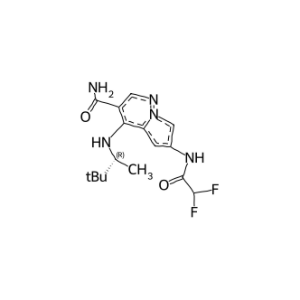 C[C@@H](Nc1c(C(N)=O)cnn2cc(NC(=O)C(F)F)cc12)C(C)(C)C